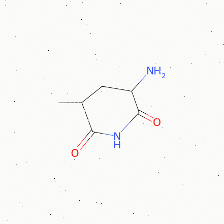 CC1CC(N)C(=O)NC1=O